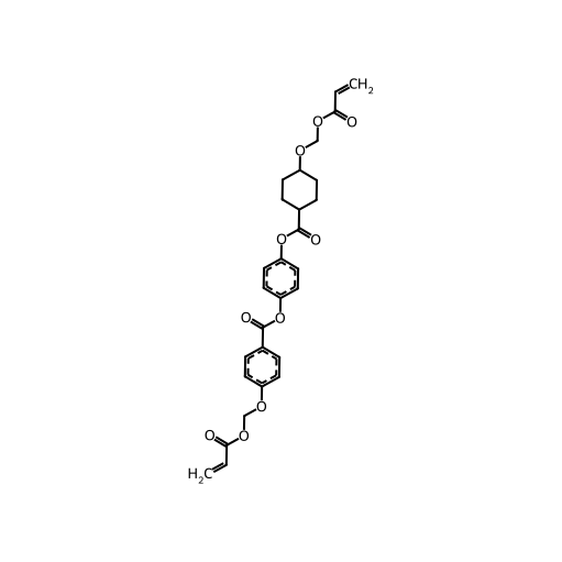 C=CC(=O)OCOc1ccc(C(=O)Oc2ccc(OC(=O)C3CCC(OCOC(=O)C=C)CC3)cc2)cc1